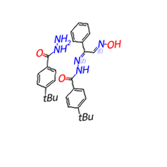 CC(C)(C)c1ccc(C(=O)N/N=C(\C=N\O)c2ccccc2)cc1.CC(C)(C)c1ccc(C(=O)NN)cc1